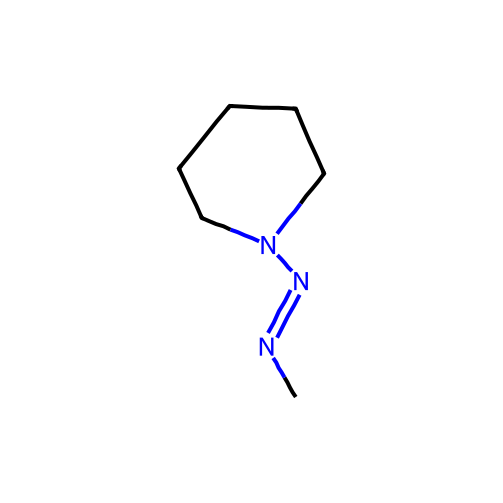 CN=NN1CCCCC1